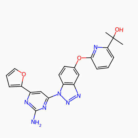 CC(C)(O)c1cccc(Oc2ccc3c(c2)nnn3-c2cc(-c3ccco3)nc(N)n2)n1